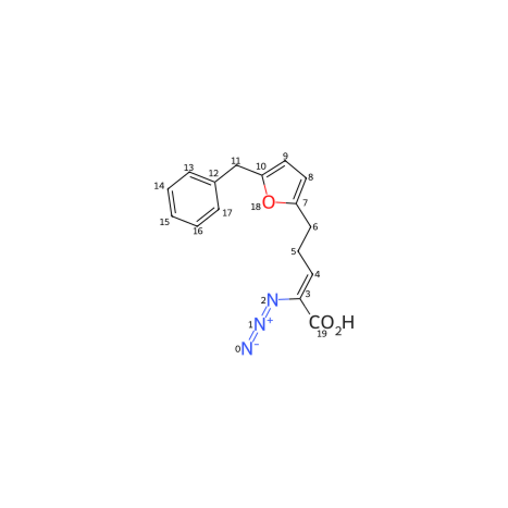 [N-]=[N+]=NC(=CCCc1ccc(Cc2ccccc2)o1)C(=O)O